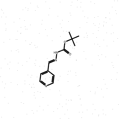 CC(C)(C)OC(=O)NN=Cc1ccncc1